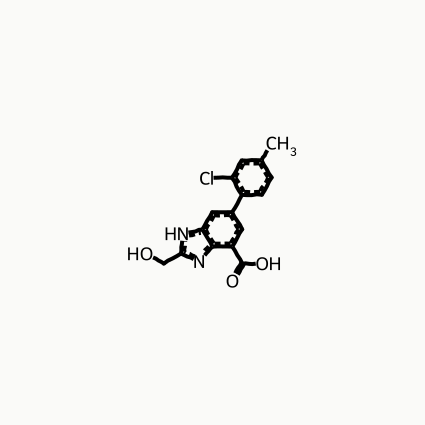 Cc1ccc(-c2cc(C(=O)O)c3nc(CO)[nH]c3c2)c(Cl)c1